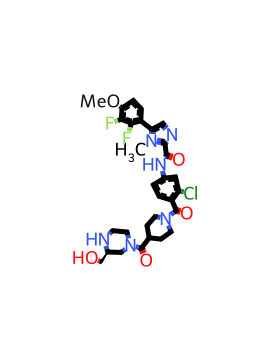 COc1ccc(-c2cnc(C(=O)Nc3ccc(C(=O)N4CCC(C(=O)N5CCN[C@H](CO)C5)CC4)c(Cl)c3)n2C)c(F)c1F